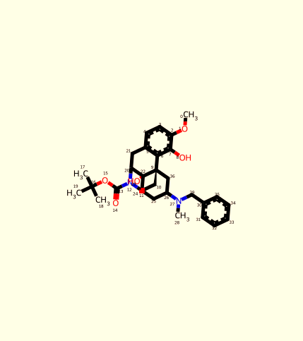 COc1ccc2c(c1O)[C@@]13CCN(C(=O)OC(C)(C)C)C(C2)C1(O)CCC(N(C)Cc1ccccc1)C3